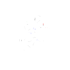 Cc1cc(C)c2c(Cn3c(=O)n([C@H](CC(=O)O)c4ccccc4)c4cc(Cl)ccc43)cn(C)c2c1